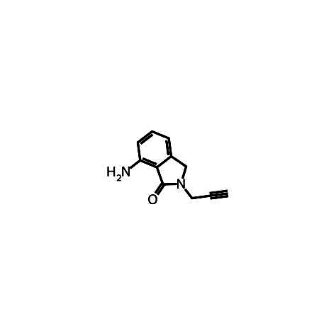 C#CCN1Cc2cccc(N)c2C1=O